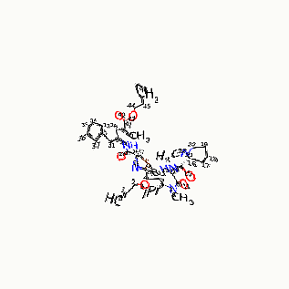 C#CCO[C@H](C[C@H](C(C)C)N(C)C(=O)[C@@H](NC(=O)[C@H]1CCCCN1C)[C@@H](C)CC)c1nc(C(=O)N[C@@H](Cc2ccccc2)C[C@H](C)C(=O)OCC=C)cs1